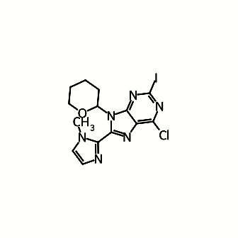 Cn1ccnc1-c1nc2c(Cl)nc(I)nc2n1C1CCCCO1